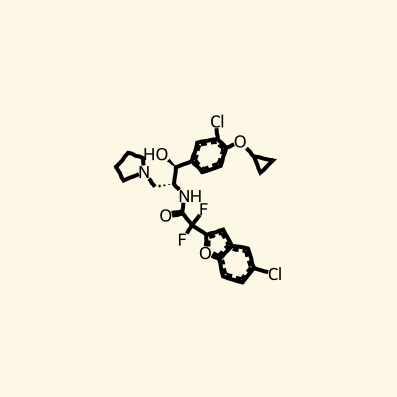 O=C(N[C@H](CN1CCCC1)[C@@H](O)c1ccc(OC2CC2)c(Cl)c1)C(F)(F)c1cc2cc(Cl)ccc2o1